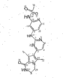 Cc1c(-c2ccnc(Nc3cccc(NS(C)(=O)=O)c3)n2)c(C)n2c1C(=O)NCC2